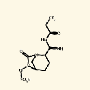 N=C(NC(=O)CC(F)(F)F)C1CCC2CN1C(=O)N2OS(=O)(=O)O